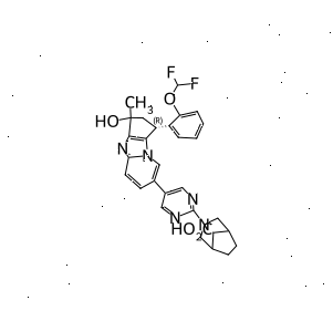 CC1(O)C[C@H](c2ccccc2OC(F)F)c2c1nc1ccc(-c3cnc(N4CC5CCC(C4)C5C(=O)O)nc3)cn21